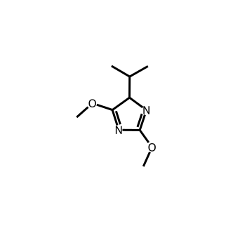 COC1=NC(C(C)C)C(OC)=N1